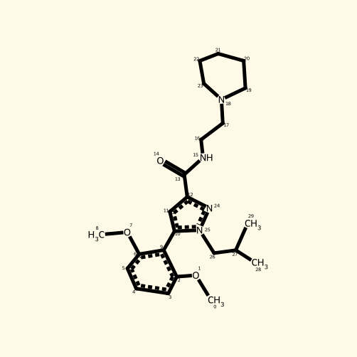 COc1cccc(OC)c1-c1cc(C(=O)NCCN2CCCCC2)nn1CC(C)C